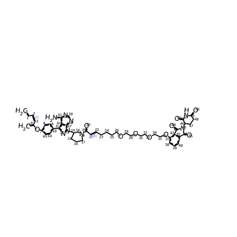 C=C/C=C\C(=C)Oc1ccc(-c2nn(C3CCCN(C(=O)/C=C/CCCCOCCOCCOCCOc4cccc5c4C(=O)N(C4CCC(=O)NC4=O)C5=O)C3)c3ncnc(N)c23)cc1